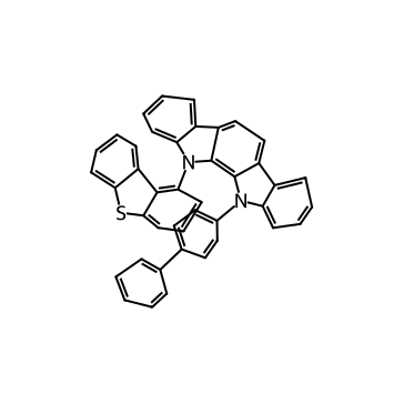 c1ccc(-c2ccc(-n3c4ccccc4c4ccc5c6ccccc6n(-c6cccc7sc8ccccc8c67)c5c43)cc2)cc1